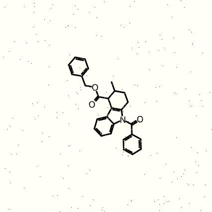 CC1CCc2c(c3ccccc3n2C(=O)c2ccccc2)C1C(=O)OCc1ccccc1